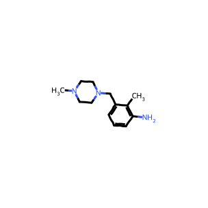 Cc1c(N)cccc1CN1CCN(C)CC1